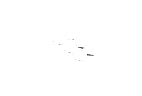 CC(C)(C)CC1CCC2=CC(=O)CCC2C1